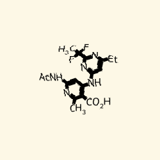 CCc1cc(Nc2cc(NC(C)=O)nc(C)c2C(=O)O)nc(C(C)(F)F)n1